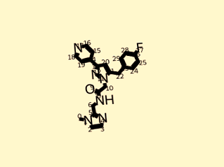 Cn1ccnc1CNC(=O)Cn1nc(-c2ccncc2)cc1Cc1ccc(F)cc1